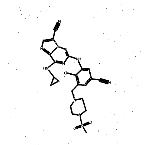 CS(=O)(=O)N1CCN(Cc2cc(C#N)cc(Nc3nc(NC4CC4)c4ncc(C#N)n4n3)c2Cl)CC1